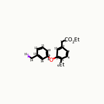 CCOC(=O)Cc1ccc(CC)c(Oc2cccc(CI)c2)c1